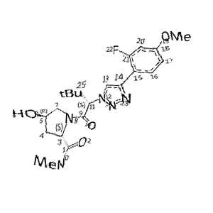 CNC(=O)[C@@H]1C[C@@H](O)CN1C(=O)[C@@H](n1cc(-c2ccc(OC)cc2F)nn1)C(C)(C)C